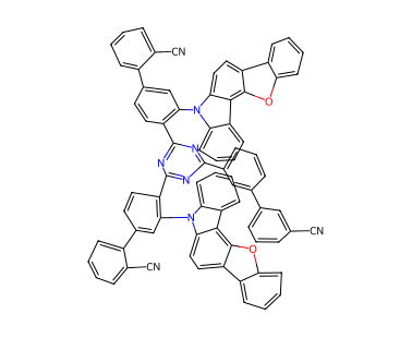 N#Cc1cccc(-c2cccc(-c3nc(-c4ccc(-c5ccccc5C#N)cc4-n4c5ccccc5c5c6oc7ccccc7c6ccc54)nc(-c4ccc(-c5ccccc5C#N)cc4-n4c5ccccc5c5c6oc7ccccc7c6ccc54)n3)c2)c1